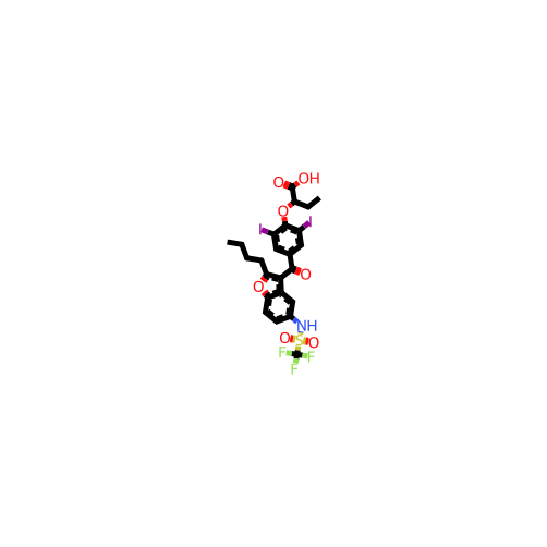 CCCCc1oc2ccc(NS(=O)(=O)C(F)(F)F)cc2c1C(=O)c1cc(I)c(OC(CC)C(=O)O)c(I)c1